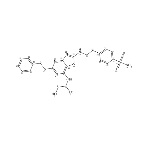 CCC(CO)Nc1nc(SCc2ccccc2)nc2nc(NCCc3ccc(S(N)(=O)=O)cc3)sc12